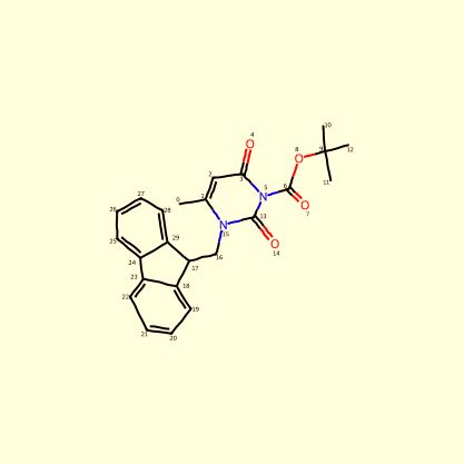 Cc1cc(=O)n(C(=O)OC(C)(C)C)c(=O)n1CC1c2ccccc2-c2ccccc21